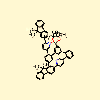 CC1(C)c2ccccc2-c2ccc(-c3ccc(-c4ccccc4-c4cc(B5OC(C)(C)C(C)(C)O5)cc(-c5ccccc5-c5ccc(-c6ccc7c(c6)C(C)(C)c6ccccc6-7)nc5)c4)cn3)cc21